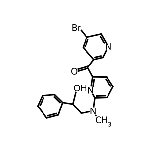 CN(CC(O)c1ccccc1)c1cccc(C(=O)c2cncc(Br)c2)n1